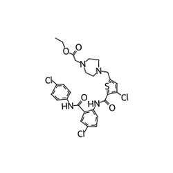 CCOC(=O)CN1CCN(Cc2cc(Cl)c(C(=O)Nc3ccc(Cl)cc3C(=O)Nc3ccc(Cl)cc3)s2)CC1